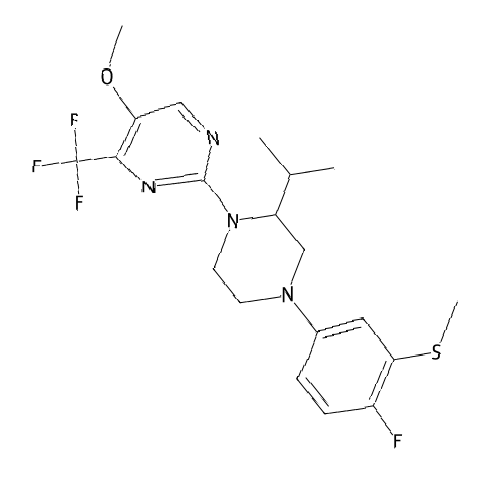 COc1cnc(N2CCN(c3ccc(F)c(SC)c3)CC2C(C)C)nc1C(F)(F)F